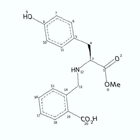 COC(=O)[C@H](Cc1ccc(O)cc1)NCc1ccccc1C(=O)O